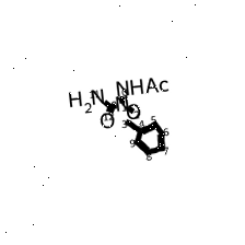 CC(=O)NN(OCc1ccccc1)C(N)=O